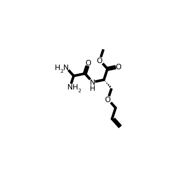 C=CCOC[C@H](NC(=O)C(N)N)C(=O)OC